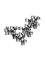 CCN(CC)OP(ON(CC)CC)ON(CC)CC.CCN(CC)OP(ON(CC)CC)ON(CC)CC.CCN(CC)OP(ON(CC)CC)ON(CC)CC.CCN(CC)OP(ON(CC)CC)ON(CC)CC.[Ni]